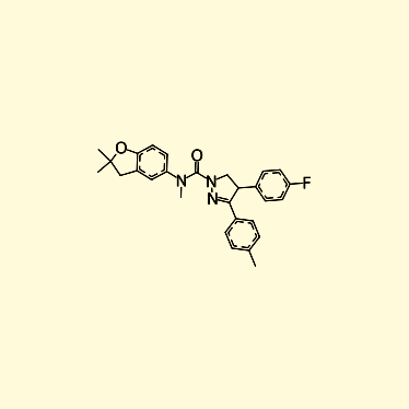 Cc1ccc(C2=NN(C(=O)N(C)c3ccc4c(c3)CC(C)(C)O4)CC2c2ccc(F)cc2)cc1